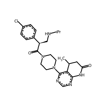 CC(C)NC[C@@H](C(=O)N1CCN(c2ncnc3c2C(C)CC(=O)N3)CC1)c1ccc(Cl)cc1